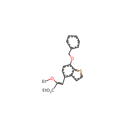 CCOC(=O)/C(=C/c1ccc(OCc2ccccc2)c2sccc12)OCC